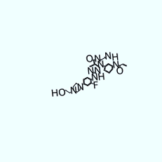 C=CC(=O)Nc1cccc(-n2c(C#N)nc(=O)c3cnc(Nc4ccc(N5CCN(CCO)CC5)cc4F)nc32)c1